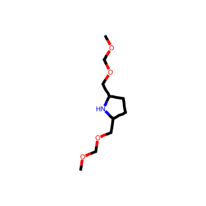 COCOCC1CCC(COCOC)N1